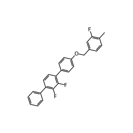 Cc1ccc(COc2ccc(-c3ccc(-c4ccccc4)c(F)c3F)cc2)cc1F